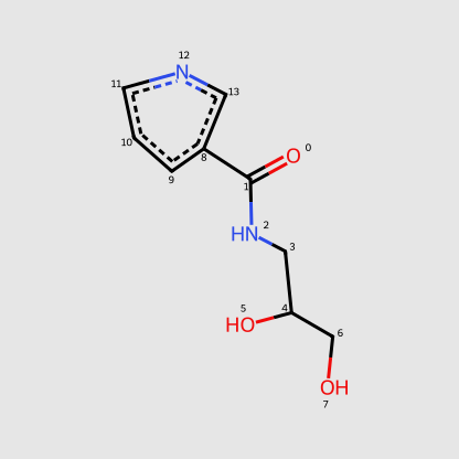 O=C(NCC(O)CO)c1cccnc1